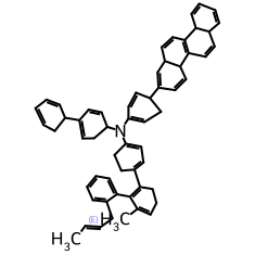 C/C=C/Cc1ccccc1C1=C(C2=CC=C(N(C3=CCC(C4=CC5C=CC6=C(C=CC7C=CC=CC67)C5C=C4)C=C3)C3C=CC(C4C=CC=CC4)=CC3)CC2)CCC=C1C